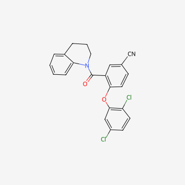 N#Cc1ccc(Oc2cc(Cl)ccc2Cl)c(C(=O)N2CCCc3ccccc32)c1